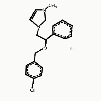 CN1C=CN(CC(OCc2ccc(Cl)cc2)c2ccccc2)C1.I